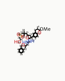 COC(=O)[C@H](C)Cc1cccc([C@@](C)(CCCC(C)(C)CS(=O)(=O)CCO)C(=O)NNCC(C)OCc2ccccc2)c1